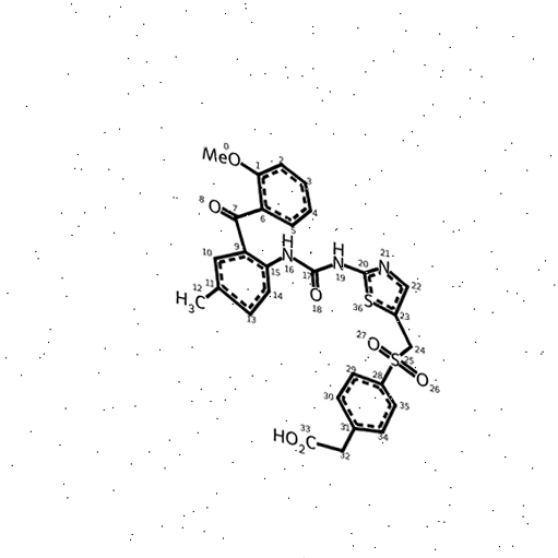 COc1ccccc1C(=O)c1cc(C)ccc1NC(=O)Nc1ncc(CS(=O)(=O)c2ccc(CC(=O)O)cc2)s1